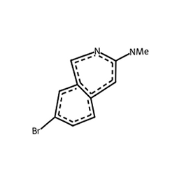 CNc1cc2ccc(Br)cc2cn1